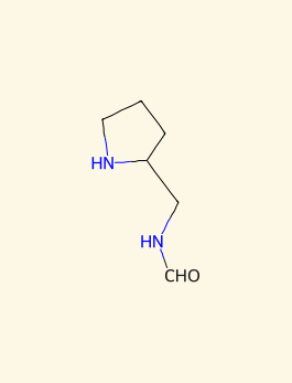 O=CNCC1CCCN1